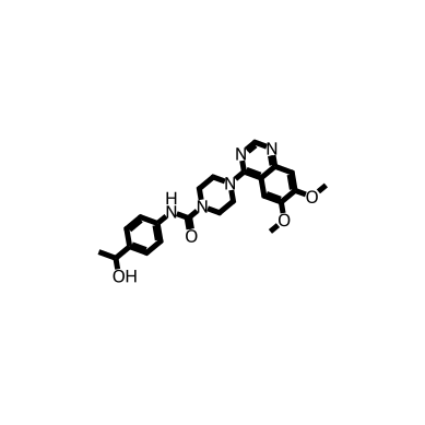 COc1cc2ncnc(N3CCN(C(=O)Nc4ccc(C(C)O)cc4)CC3)c2cc1OC